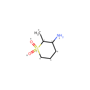 CC1C(N)CCCS1(=O)=O